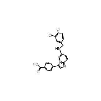 O=C(O)c1ccc(-c2cnc3ccc(NCc4ccc(Cl)c(Cl)c4)nn23)cc1